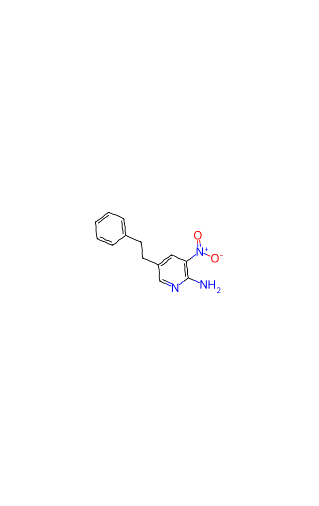 Nc1ncc(CCc2ccccc2)cc1[N+](=O)[O-]